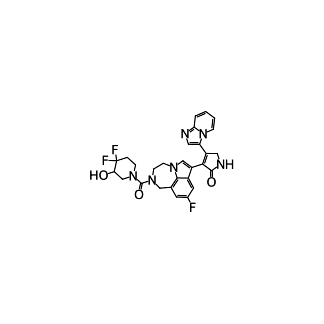 O=C1NCC(c2cnc3ccccn23)=C1c1cn2c3c(cc(F)cc13)CN(C(=O)N1CCC(F)(F)C(O)C1)CC2